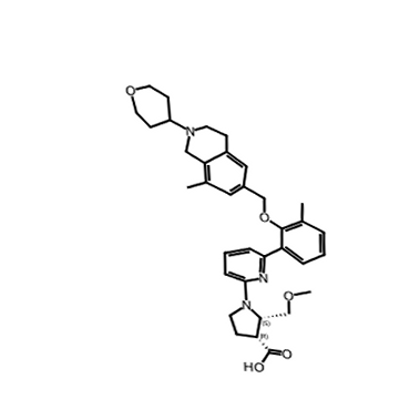 COC[C@@H]1[C@H](C(=O)O)CCN1c1cccc(-c2cccc(C)c2OCc2cc(C)c3c(c2)CCN(C2CCOCC2)C3)n1